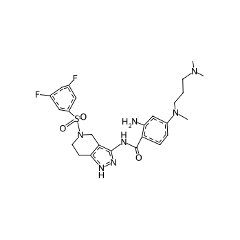 CN(C)CCCN(C)c1ccc(C(=O)Nc2n[nH]c3c2CN(S(=O)(=O)c2cc(F)cc(F)c2)CC3)c(N)c1